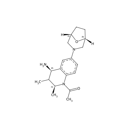 CC(=O)N1c2ccc(N3C[C@H]4CC[C@@H](C3)O4)cc2[C@H](N)C(C)[C@@H]1C